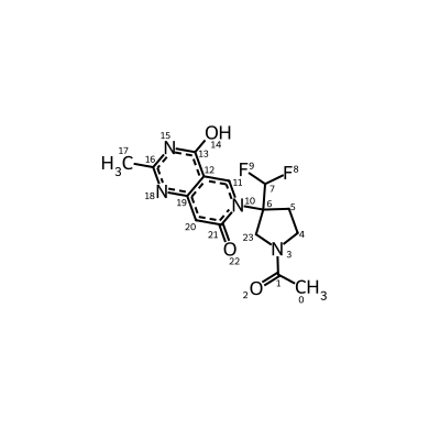 CC(=O)N1CCC(C(F)F)(n2cc3c(O)nc(C)nc3cc2=O)C1